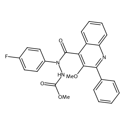 COC(=O)NN(C(=O)c1c(OC)c(-c2ccccc2)nc2ccccc12)c1ccc(F)cc1